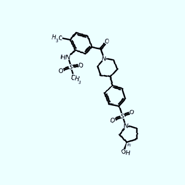 Cc1ccc(C(=O)N2CCC(c3ccc(S(=O)(=O)N4CC[C@@H](O)C4)cc3)CC2)cc1NS(C)(=O)=O